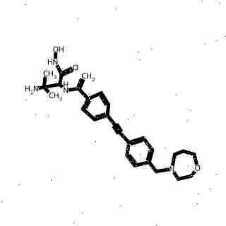 C=C(NC(C(=O)NO)C(C)(C)N)c1ccc(C#Cc2ccc(CN3CCCOCC3)cc2)cc1